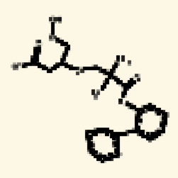 CC(C)(CSC(COO)CC(=O)O)C(=O)Oc1ccccc1-c1ccccc1